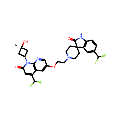 C[C@]1(O)C[C@@H](n2c(=O)cc(C(F)F)c3cc(OCCN4CCC5(CC4)C(=O)Nc4ccc(C(F)F)cc45)cnc32)C1